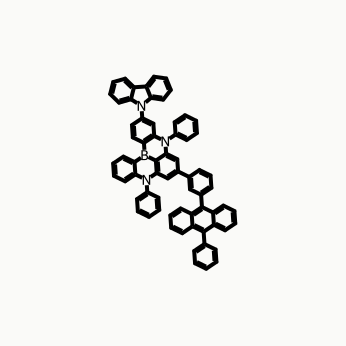 c1ccc(-c2c3ccccc3c(-c3cccc(-c4cc5c6c(c4)N(c4ccccc4)c4cc(-n7c8ccccc8c8ccccc87)ccc4B6c4ccccc4N5c4ccccc4)c3)c3ccccc23)cc1